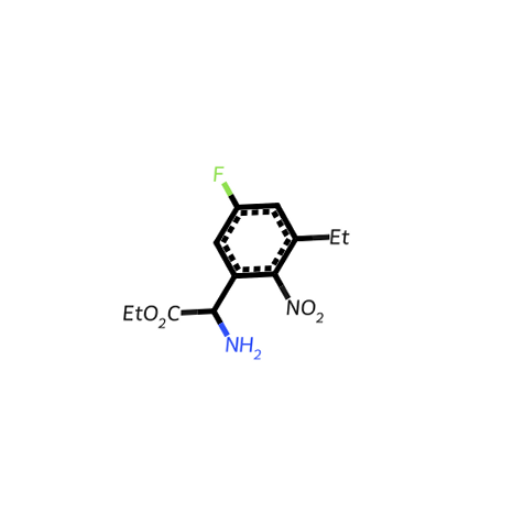 CCOC(=O)C(N)c1cc(F)cc(CC)c1[N+](=O)[O-]